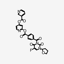 O=C(Oc1ccnc(OC(=O)c2ccc(C(=O)n3c(=O)c(F)cn(C4CCCO4)c3=O)cc2)c1)c1cccnc1